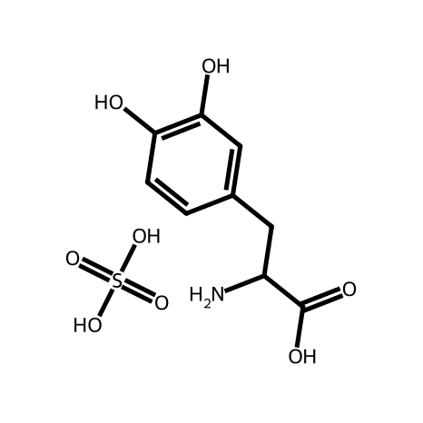 NC(Cc1ccc(O)c(O)c1)C(=O)O.O=S(=O)(O)O